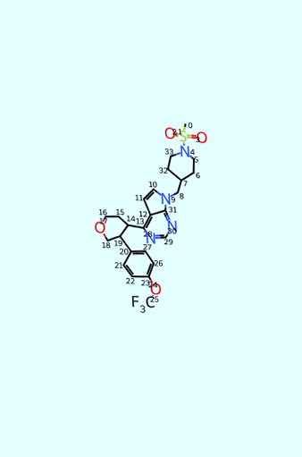 CS(=O)(=O)N1CCC(Cn2ccc3c(C4CCOCC4c4ccc(OC(F)(F)F)cc4)ncnc32)CC1